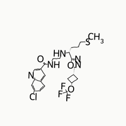 CSCCC[C@@H](NCCNC(=O)c1cnc2cc(Cl)ccc2c1)c1nnc([C@H]2C[C@@H](OC(F)(F)F)C2)o1